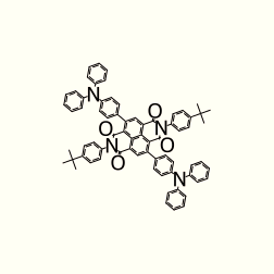 CC(C)(C)c1ccc(N2C(=O)c3cc(-c4ccc(N(c5ccccc5)c5ccccc5)cc4)c4c5c(cc(-c6ccc(N(c7ccccc7)c7ccccc7)cc6)c(c35)C2=O)C(=O)N(c2ccc(C(C)(C)C)cc2)C4=O)cc1